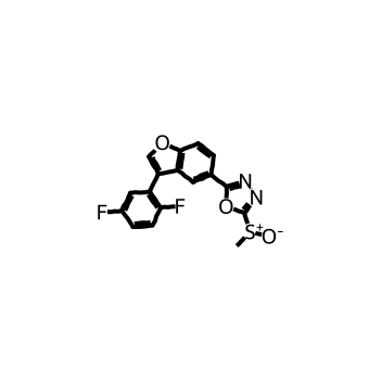 C[S+]([O-])c1nnc(-c2ccc3occ(-c4cc(F)ccc4F)c3c2)o1